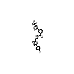 O=C(NCCc1nc(-c2ccc(F)cc2)n[nH]1)c1cccc(-c2noc(C(F)(F)F)n2)c1